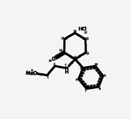 COCCNC1(c2ccccc2)CCCCC1=O.Cl